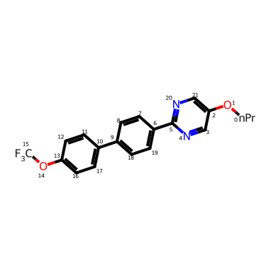 CCCOc1cnc(-c2ccc(-c3ccc(OC(F)(F)F)cc3)cc2)nc1